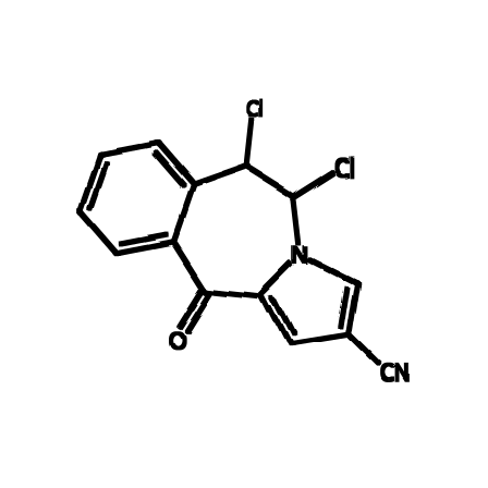 N#Cc1cc2n(c1)C(Cl)C(Cl)c1ccccc1C2=O